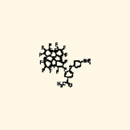 CC(=O)c1ccc(Sc2ccc([SH2+])cc2)cc1.Fc1c(F)c(F)c([B-](c2c(F)c(F)c(F)c(F)c2F)(c2c(F)c(F)c(F)c(F)c2F)c2c(F)c(F)c(F)c(F)c2F)c(F)c1F